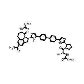 COC(=O)N[C@H]1CCc2cc(C(N)=O)cc3c2N(C1=O)[C@H](c1ncc(-c2ccc(-c4ccc(-c5cnc([C@@H]6CCCN6C(=O)[C@@H](NC(=O)OC)C(C)C)[nH]5)cc4)cc2)[nH]1)C3